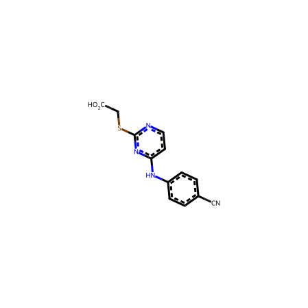 N#Cc1ccc(Nc2ccnc(SCC(=O)O)n2)cc1